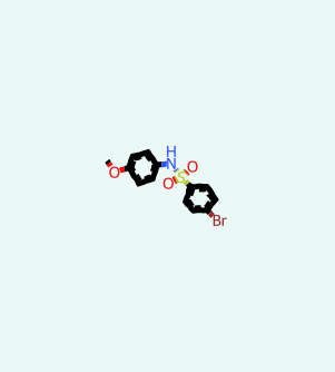 COc1ccc(NS(=O)(=O)c2ccc(Br)cc2)cc1